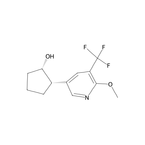 COc1ncc([C@@H]2CCC[C@@H]2O)cc1C(F)(F)F